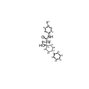 O=C(Nc1ccc(F)cc1)C(F)(F)[C@]1(O)CC[C@H](c2ccccc2)CC1